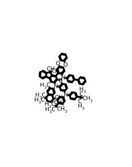 Cc1cc2c(cc1N1c3cc(N(c4ccc(C(C)(C)C)cc4)c4ccc(C(C)(C)C)cc4)ccc3B3c4c1cc1c(c4-c4cc5c(cc4N3c3ccc(-c4ccccc4)cc3)Oc3ccccc3O5)C(C)(C)c3ccccc3-1)C(C)(C)CCC2(C)C